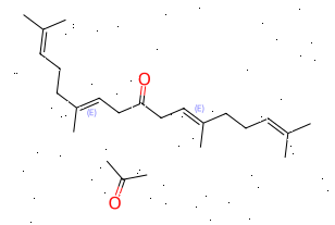 CC(C)=CCC/C(C)=C/CC(=O)C/C=C(\C)CCC=C(C)C.CC(C)=O